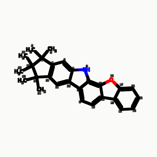 CC1(C)c2cc3[nH]c4c(ccc5c6ccccc6oc54)c3cc2C(C)(C)C1(C)C